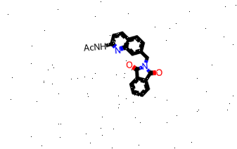 CC(=O)Nc1ccc2ccc(CN3C(=O)c4ccccc4C3=O)cc2n1